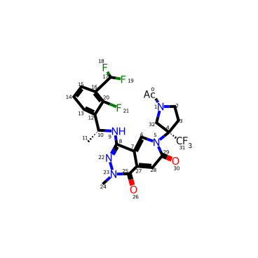 CC(=O)N1CC[C@](n2cc3c(N[C@H](C)c4cccc(C(F)F)c4F)nn(C)c(=O)c3cc2=O)(C(F)(F)F)C1